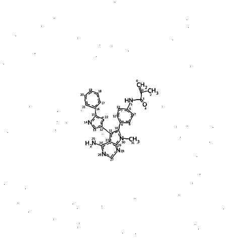 C=C(C)C(=O)Nc1ccc(-c2c(-c3cnc(-c4ccccc4)s3)c3c(N)ncnc3n2C)cc1